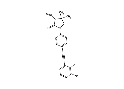 COC1C(=O)N(c2ncc(C#Cc3cccc(F)c3F)cn2)CC1(C)C